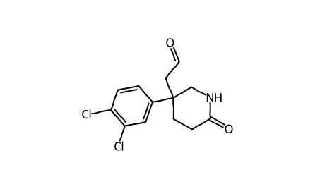 O=CCC1(c2ccc(Cl)c(Cl)c2)CCC(=O)NC1